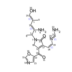 CC(/C=C(\N)C(C)N1CC(C(=O)c2cnco2)=C(/C=C\N=C\N)C1=O)=C\O